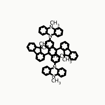 CN1c2ccccc2N(c2ccc3c(-c4cccc5c4C(C)(C)c4ccccc4-5)c4cc(N5c6ccccc6N(C)c6ccccc65)ccc4c(-c4cccc5c4C(C)(C)c4ccccc4-5)c3c2)c2ccccc21